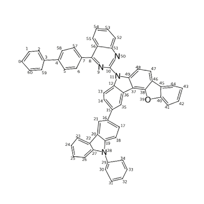 c1ccc(-c2ccc(-c3nc(-n4c5ccc(-c6ccc7c(c6)c6ccccc6n7-c6ccccc6)cc5c5c6oc7ccccc7c6ccc54)nc4ccccc34)cc2)cc1